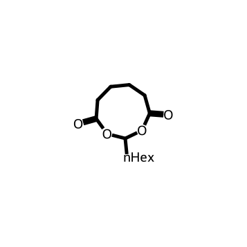 CCCCCCC1OC(=O)CCCCC(=O)O1